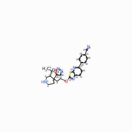 CC(C)C1CNCCC1(CCOc1nc2ccc(-c3ccc(C#N)cc3)nc2s1)c1cnno1